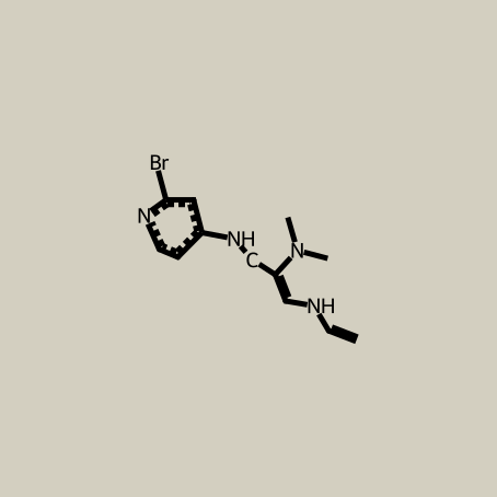 C=CN/C=C(/CNc1ccnc(Br)c1)N(C)C